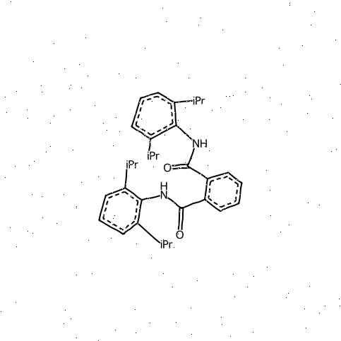 CC(C)c1cccc(C(C)C)c1NC(=O)c1ccccc1C(=O)Nc1c(C(C)C)cccc1C(C)C